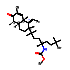 CCCC(C)(C)CC[C@@](C)(CCC(C)(C)[C@]1(C)CC[C@H]2[C@H](C)C(=O)C(C#N)=C[C@]2(C)/C1=C/C(C)=O)NC(=O)OC(C)C